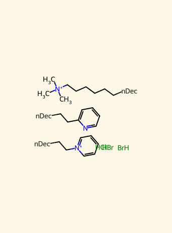 Br.Br.CCCCCCCCCCCCCCCC[N+](C)(C)C.CCCCCCCCCCCC[n+]1ccccc1.CCCCCCCCCCCCc1ccccn1.Cl